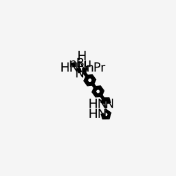 CCCCNc1nc(-c2ccc(-c3ccc(-c4cnc([C@@H]5CCCN5)[nH]4)cc3)cc2)c(CCC)[nH]1